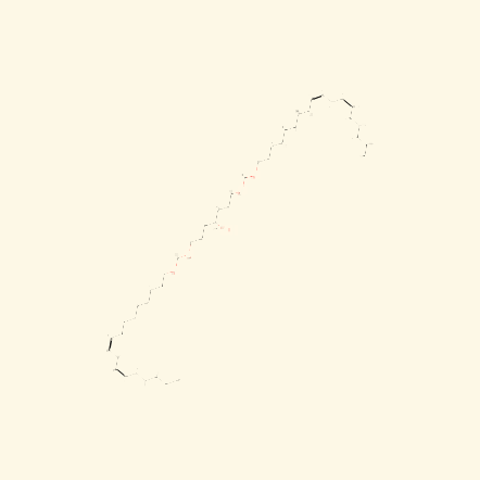 CCCCC/C=C\C/C=C\CCCCCCCCOCOCCCC(O)CCCOCOCCCCCCCC/C=C\C/C=C\CCCCC